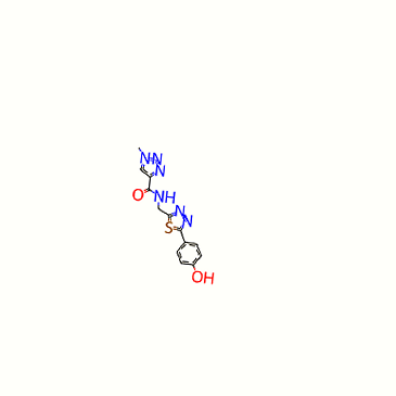 Cn1cc(C(=O)NCc2nnc(-c3ccc(O)cc3)s2)nn1